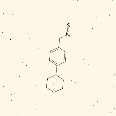 S=NCc1ccc(C2CCCCC2)cc1